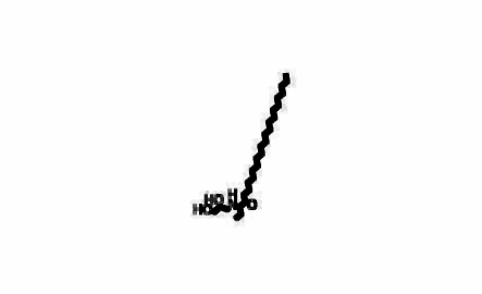 CCCCCCCCCCCCCCCCCCCCCC(=O)C(CC)NCC(O)CO